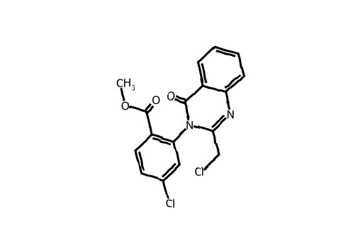 COC(=O)c1ccc(Cl)cc1-n1c(CCl)nc2ccccc2c1=O